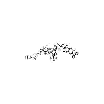 CC(C)(N)CCCOc1cc(Nc2cc([C@H]3CC[C@@H](OC(=O)Oc4ccc([N+](=O)[O-])cc4)C3)nn2C(C)(C)C)ccn1